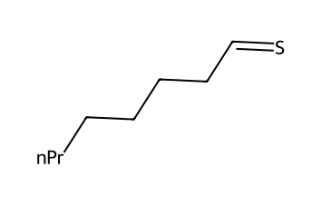 [CH2]CCCCCCC=S